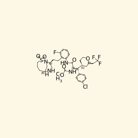 COC(=O)N[C@H](C(=O)Nc1cccc(F)c1CC[C@H]1CN[C@@H]2CCCS(=O)(=O)N1C2)[C@@H](c1ccc(Cl)cc1)[C@H]1CCO[C@@H](CC(F)(F)F)C1